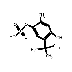 Cc1cc(O)c(C(C)(C)C)cc1OS(=O)(=O)O